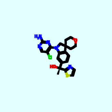 C[C@](O)(c1ccc2c(c1)N(c1nc(N)ncc1Cl)CC21CCOCC1)c1nccs1